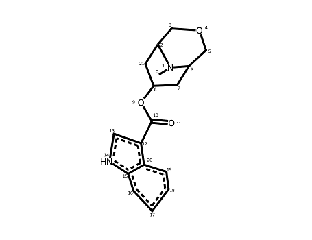 CN1C2COCC1CC(OC(=O)c1c[nH]c3ccccc13)C2